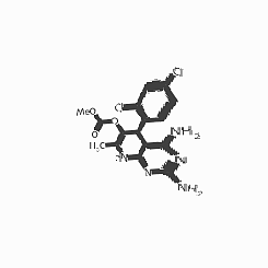 COC(=O)OC1=C(C)Nc2nc(N)nc(N)c2C1c1ccc(Cl)cc1Cl